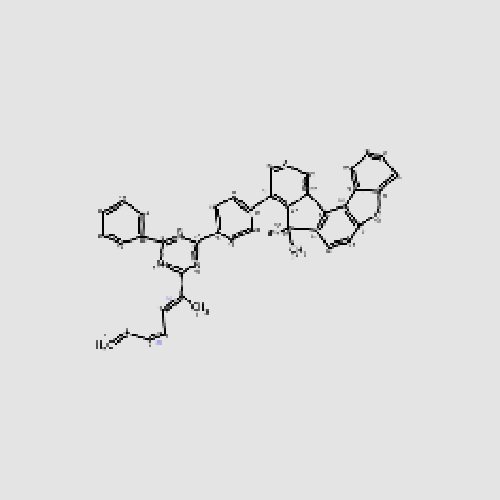 C=C/C=C\C=C(/C)c1nc(-c2ccccc2)nc(-c2ccc(-c3cccc4c3C(C)(C(C)C)c3ccc5oc6ccccc6c5c3-4)cc2)n1